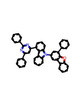 c1ccc(-c2cc(-c3cccc4c3c3ccccc3n4-c3cc(-c4ccccc4)c4oc5ccccc5c4c3)nc(-c3ccccc3)n2)cc1